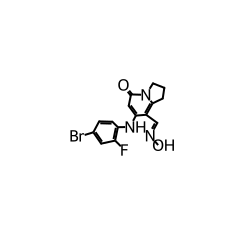 O=c1cc(Nc2ccc(Br)cc2F)c(C=NO)c2n1CCC2